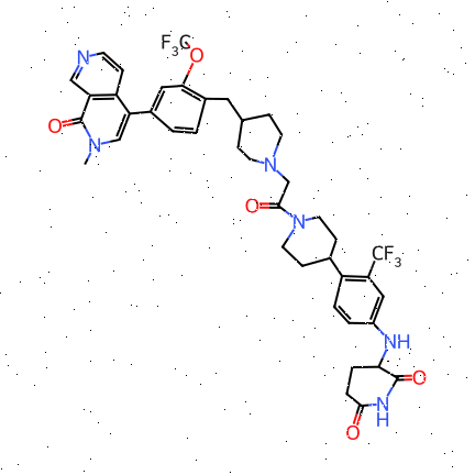 Cn1cc(-c2ccc(CC3CCN(CC(=O)N4CCC(c5ccc(NC6CCC(=O)NC6=O)cc5C(F)(F)F)CC4)CC3)c(OC(F)(F)F)c2)c2ccncc2c1=O